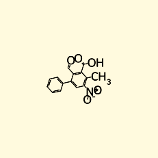 Cc1c([N+](=O)[O-])cc(-c2ccccc2)c(C=O)c1C(=O)O